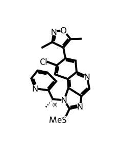 CSc1nc2cnc3cc(-c4c(C)noc4C)c(Cl)cc3c2n1[C@H](C)c1ccccn1